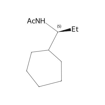 CC[C@H](NC(C)=O)C1CCCCC1